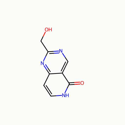 O=c1[nH]ccc2nc(CO)ncc12